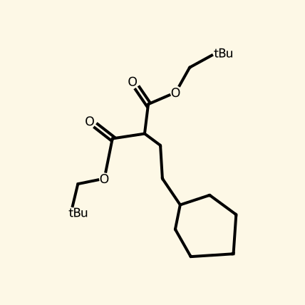 CC(C)(C)COC(=O)C(CCC1CCCCC1)C(=O)OCC(C)(C)C